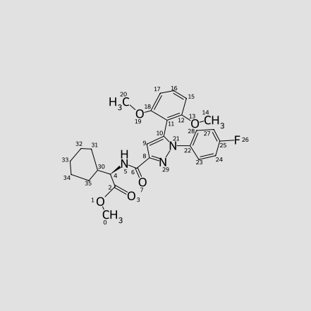 COC(=O)[C@H](NC(=O)c1cc(-c2c(OC)cccc2OC)n(-c2ccc(F)cc2)n1)C1CCCCC1